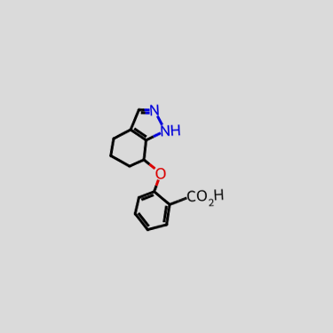 O=C(O)c1ccccc1OC1CCCc2cn[nH]c21